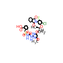 C#CC(C)Oc1cc(N2C(=O)C3=C(CCCC3)C2=O)c(F)cc1Cl.COc1cc(OC)nc(NC(=O)NS(=O)(=O)Cc2ccccc2C(=O)O)n1